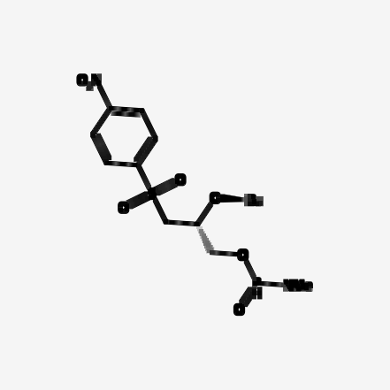 CC[C@H](C)O[C@H](CO[PH](=O)NC)CS(=O)(=O)c1ccc([N+](=O)[O-])cc1